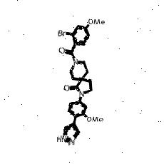 COc1ccc(C(=O)N2CCC3(CC2)CCN(c2ccc(-c4cn[nH]c4)c(OC)c2)C3=O)c(Br)c1